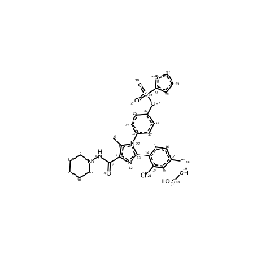 Cc1c(C(=O)NN2CCCCC2)nc(-c2ccc(Cl)cc2Cl)n1-c1ccc(OS(=O)(=O)c2cccs2)cc1.O=S(=O)(O)O